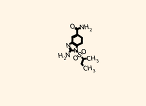 CCC(C)S(=O)(=O)n1c(N)nc2c1CCC(C(N)=O)=C2